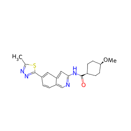 CO[C@H]1CC[C@@H](C(=O)Nc2cc3cc(-c4nnc(C)s4)ccc3cn2)CC1